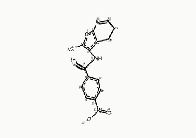 Cc1oc2c(c1NC(=O)c1ccc([N+](=O)[O-])cc1)CCC=N2